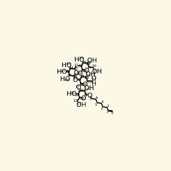 C=CCCCCCCO[C@@H]1OC(CO)[C@H](O)[C@H](O[C@@H]2OC(CO)[C@H](O)[C@H](O[C@H]3OC(CO)[C@H](O)[C@H](O)C3C)C2O[C@@H]2OC(C)[C@@H](O)[C@H](O)C2O)C1O